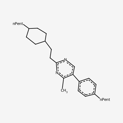 CCCCCc1ccc(-c2cnc(CCC3CCC(CCCCC)CC3)nc2C)cc1